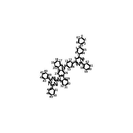 c1ccc(-c2ccc(-c3cc(-c4ccc(-n5c6ccccc6c6cc7c(cc65)c5ccccc5n7-c5nc(-c6ccccc6)nc(-c6ccccc6)n5)cc4)nc(-c4ccccc4)n3)cc2)cc1